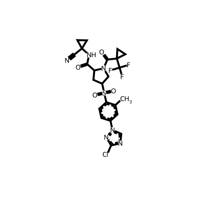 Cc1cc(-n2cnc(Cl)n2)ccc1S(=O)(=O)C1CC(C(=O)NC2(C#N)CC2)N(C(=O)C2(C(F)(F)F)CC2)C1